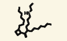 C=C(C(CCCCCCC)CCCCNCCC)C1CCC1CCCCCCC